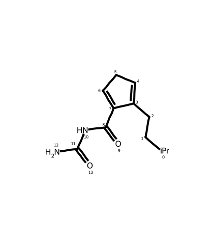 CC(C)CCC1=CCC=C1C(=O)NC(N)=O